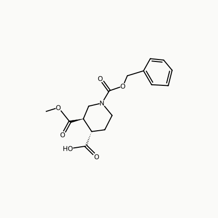 COC(=O)[C@H]1CN(C(=O)OCc2ccccc2)CC[C@@H]1C(=O)O